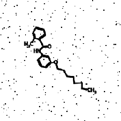 CCCCCCCCOc1cccc(NC(=O)c2ccccc2C)c1